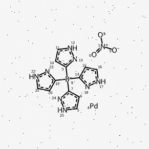 O=[N+]([O-])[O-].[Pd].c1cc([B-](c2cc[nH]n2)(c2cc[nH]n2)c2cc[nH]n2)n[nH]1